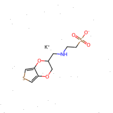 O=S(=O)([O-])CCNCC1COc2cscc2O1.[K+]